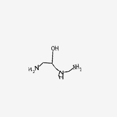 NNC(N)O